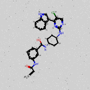 C=CC(=O)Nc1cccc(C(O)N[C@H]2CC[C@H](Nc3ncc(Cl)c(-c4c[nH]c5ccccc45)n3)CC2)c1